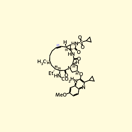 CC[C@@H]1C[C@H](C)CC/C=C\[C@@H]2C[C@@]2(C(=O)NS(=O)(=O)C2CC2)NC(=O)[C@@H]2C[C@@H](Oc3nc4cc(OC)ccc4nc3C3CC3)CN2C(=O)[C@H]1NC(=O)O